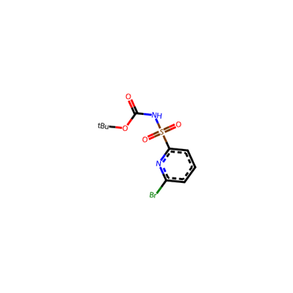 CC(C)(C)OC(=O)NS(=O)(=O)c1cccc(Br)n1